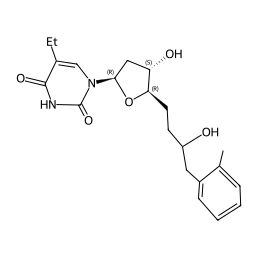 CCc1cn([C@H]2C[C@H](O)[C@@H](CCC(O)Cc3ccccc3C)O2)c(=O)[nH]c1=O